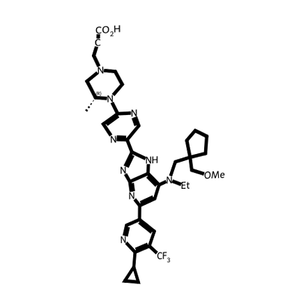 CCN(CC1(COC)CCCC1)c1cc(-c2cnc(C3CC3)c(C(F)(F)F)c2)nc2nc(-c3cnc(N4CCN(CCC(=O)O)C[C@H]4C)cn3)[nH]c12